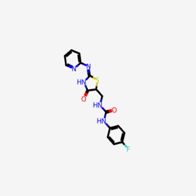 O=C(NCC1S/C(=N/c2ccccn2)NC1=O)Nc1ccc(F)cc1